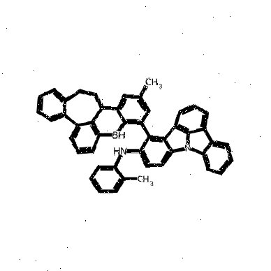 Cc1cc(-c2c(Nc3ccccc3C)ccc3c2c2cccc4c5ccccc5n3c42)c2c(c1)C1CCc3ccccc3-c3cccc(c31)B2